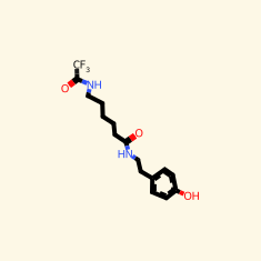 O=C(CCCCCNC(=O)C(F)(F)F)NCCc1ccc(O)cc1